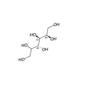 OCC(O)[C@@H](O)[C@@H](O)[C@H](O)CO